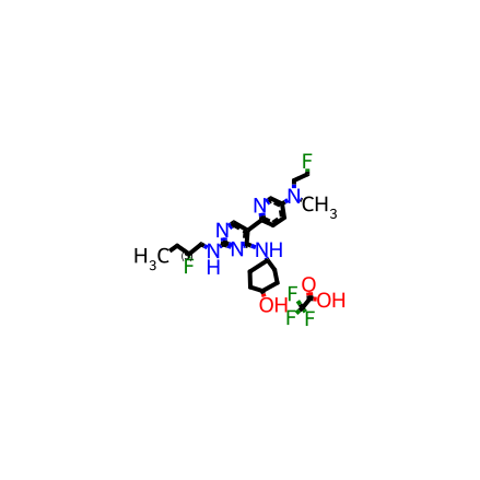 CC[C@H](F)CNc1ncc(-c2ccc(N(C)CCF)cn2)c(NC2CCC(O)CC2)n1.O=C(O)C(F)(F)F